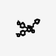 COc1ccc(-c2cc(=O)n(CCc3ccccc3)nc2-c2ccc(OC)cc2)cc1